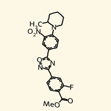 COC(=O)c1ccc(-c2noc(-c3ccc(N4CCCCC4C)c([N+](=O)[O-])c3)n2)cc1F